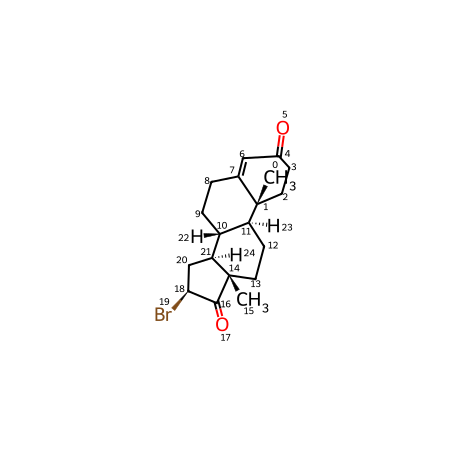 C[C@]12CCC(=O)C=C1CC[C@@H]1[C@@H]2CC[C@]2(C)C(=O)[C@@H](Br)C[C@@H]12